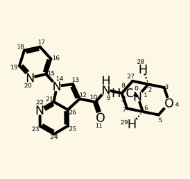 CN1[C@@H]2COC[C@H]1CC(NC(=O)c1cn(-c3ccccn3)c3ncccc13)C2